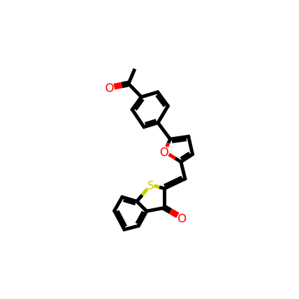 CC(=O)c1ccc(-c2ccc(C=C3Sc4ccccc4C3=O)o2)cc1